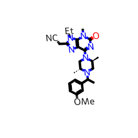 CCn1c(CC#N)nc2c(N3C[C@@H](C)N(C(C)c4cccc(OC)c4)C[C@@H]3C)nc(=O)n(C)c21